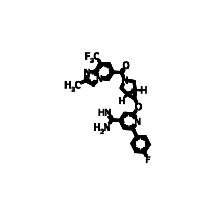 Cc1cn2cc(C(=O)N3C[C@@H]4C(Oc5cc(C(=N)N)cc(-c6ccc(F)cc6)n5)[C@@H]4C3)cc(C(F)(F)F)c2n1